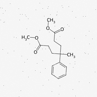 COC(=O)CCC(C)(CCC(=O)OC)c1ccccc1